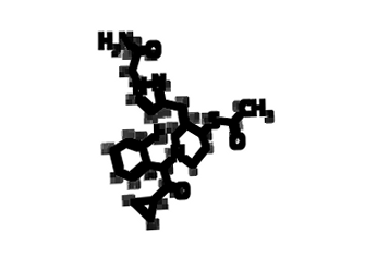 CC(=O)SC1CCN(C(C(=O)C2CC2)c2ccccc2F)C/C1=C\c1ccn(CC(N)=O)n1